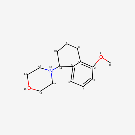 COc1cccc2c1CCCC2N1CCOCC1